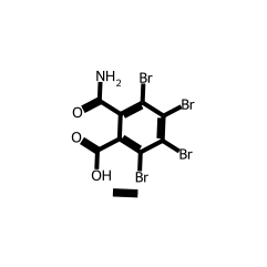 C=C.NC(=O)c1c(Br)c(Br)c(Br)c(Br)c1C(=O)O